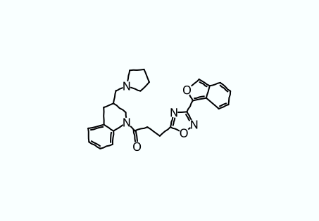 O=C(CCc1nc(-c2occ3ccccc23)no1)N1CC(CN2CCCC2)Cc2ccccc21